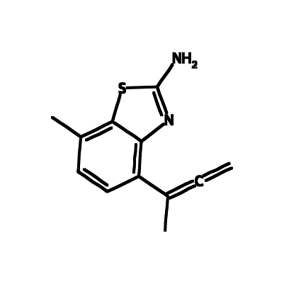 C=C=C(C)c1ccc(C)c2sc(N)nc12